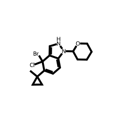 CC1(C2=CC=C3C(=CNN3C3CCCCO3)C2(Cl)Br)CC1